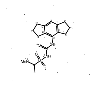 CNC(C)S(=O)(=O)NC(=O)Nc1c2c(cc3c1CCC3)CCC2